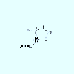 CSN1CCCC1C